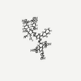 Cc1c(C#N)c(Nc2ccc(S(=O)(=O)O)cc2)nc(Nc2ccc(S(=O)(=O)O)cc2)c1N=Nc1nc(-c2ccc3ccccc3c2)c(N=Nc2cc(S(=O)(=O)O)c3cc(SOOO)cc(S(=O)(=O)O)c3c2)s1